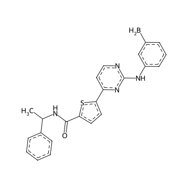 Bc1cccc(Nc2nccc(-c3ccc(C(=O)NC(C)c4ccccc4)s3)n2)c1